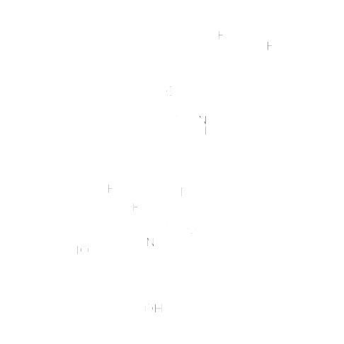 O=C(Nc1ccc(F)c(F)c1)c1ccc(F)c(C(F)(F)C(=O)N(CCO)CCO)c1